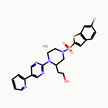 Cl.O=S(=O)(c1cc2ccc(Cl)cc2s1)N1CCN(c2ncc(-c3ccccn3)cn2)C(CCO)C1